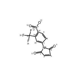 O=C1C=CC(=O)N1c1ccc([N+](=O)[O-])c(C(F)(F)F)c1